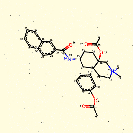 CC(=O)Oc1cccc([C@@]23CC[N+](C)(C)C[C@@]2(OC(C)=O)CC[C@@H](NC(=O)c2ccc4ccccc4c2)C3)c1